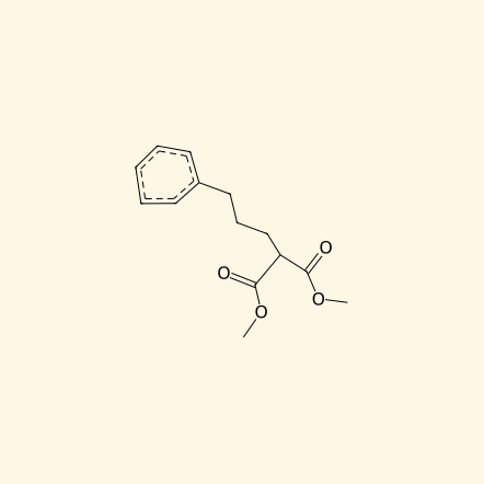 COC(=O)C(CCCc1ccccc1)C(=O)OC